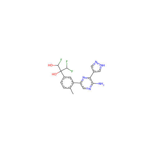 Cc1ccc(C(O)(C(O)F)C(F)F)cc1-c1cnc(N)c(-c2cn[nH]c2)n1